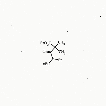 CCCCC(CC)C(=O)C(C)(C)C(=O)OCC